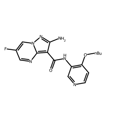 CCCCOc1ccncc1NC(=O)c1c(N)nn2cc(F)cnc12